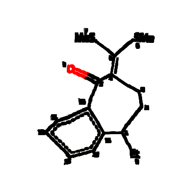 CCC1CCC(=C(SC)SC)C(=O)c2ccccc21